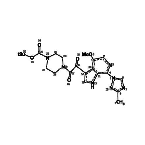 COc1cnc(-n2cnc(C)n2)c2[nH]cc(C(=O)C(=O)N3CCN(C(=O)OC(C)(C)C)CC3)c12